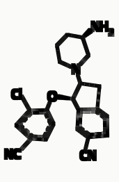 N#Cc1ccc(O[C@@H]2c3cc(C#N)ccc3CC2N2CCC[C@@H](N)C2)c(Cl)c1